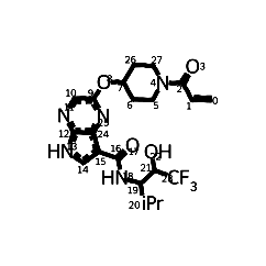 C=CC(=O)N1CCC(Oc2cnc3[nH]cc(C(=O)NC(C(C)C)C(O)C(F)(F)F)c3n2)CC1